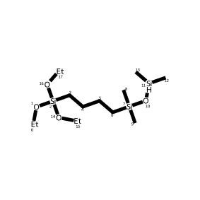 CCO[Si](CCCC[Si](C)(C)O[SiH](C)C)(OCC)OCC